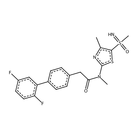 Cc1nc(N(C)C(=O)Cc2ccc(-c3cc(F)ccc3F)cc2)sc1S(C)(=N)=O